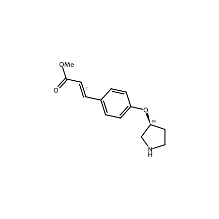 COC(=O)/C=C/c1ccc(O[C@H]2CCNC2)cc1